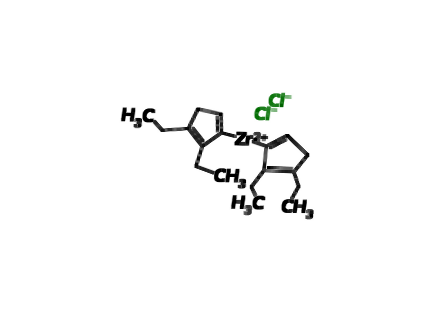 CCC1=C(CC)[C]([Zr+2][C]2=CCC(CC)=C2CC)=CC1.[Cl-].[Cl-]